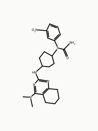 CN(C)c1nc(NC2CCC(N(C(N)=O)c3cccc([N+](=O)[O-])c3)CC2)nc2c1CCCC2